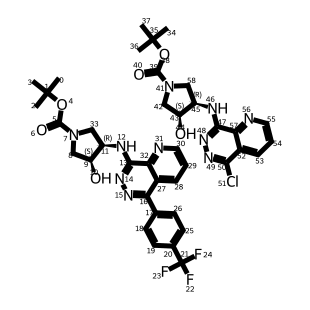 CC(C)(C)OC(=O)N1C[C@H](O)[C@H](Nc2nnc(-c3ccc(C(F)(F)F)cc3)c3cccnc23)C1.CC(C)(C)OC(=O)N1C[C@H](O)[C@H](Nc2nnc(Cl)c3cccnc23)C1